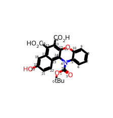 CC(C)(C)OC(=O)N1c2ccccc2Oc2c(C(=O)O)c(C(=O)O)c3cc(O)ccc3c21